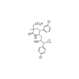 CC1(CC(=O)O)CC(c2cccc(Cl)c2)C(CC(O)C(c2ccc(Cl)cc2)C2CC2)NC1=O